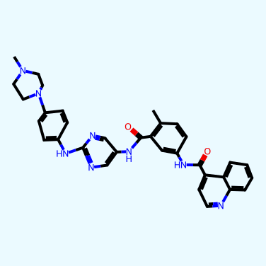 Cc1ccc(NC(=O)c2ccnc3ccccc23)cc1C(=O)Nc1cnc(Nc2ccc(N3CCN(C)CC3)cc2)nc1